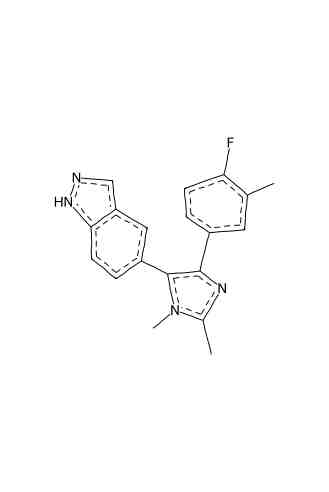 Cc1cc(-c2nc(C)n(C)c2-c2ccc3[nH]ncc3c2)ccc1F